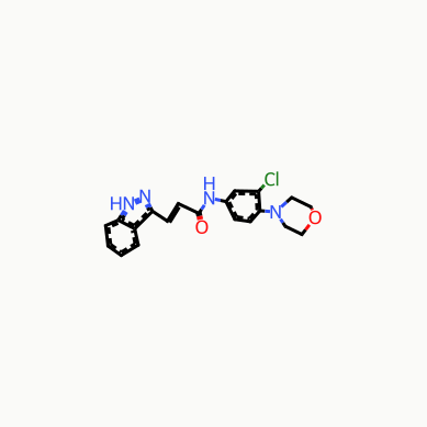 O=C(/C=C/c1n[nH]c2ccccc12)Nc1ccc(N2CCOCC2)c(Cl)c1